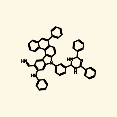 N=Cc1cc2c3c4c(ccc3n(-c3cccc(C5NC(c6ccccc6)=NC(c6ccccc6)N5)c3)c2cc1Nc1ccccc1)c(-c1ccccc1)cc1ccccc14